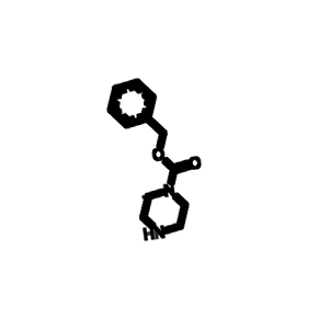 O=C(OCc1ccccc1)N1[CH]CNCC1